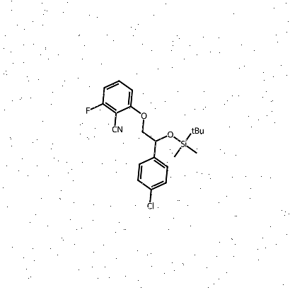 CC(C)(C)[Si](C)(C)OC(COc1cccc(F)c1C#N)c1ccc(Cl)cc1